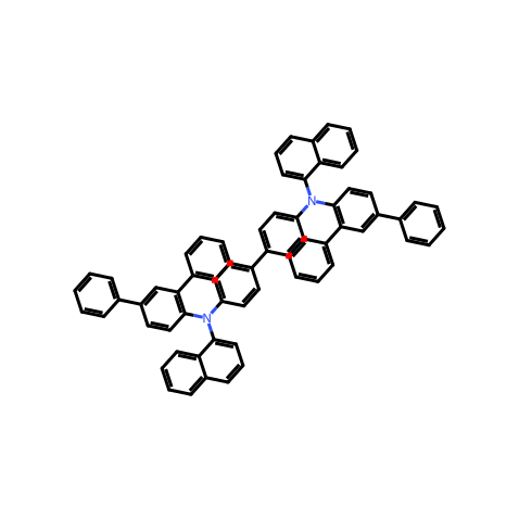 c1ccc(-c2ccc(N(c3ccc(-c4ccc(N(c5ccc(-c6ccccc6)cc5-c5ccccc5)c5cccc6ccccc56)cc4)cc3)c3cccc4ccccc34)c(-c3ccccc3)c2)cc1